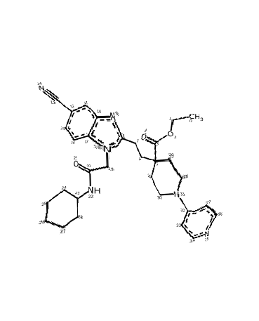 CCOC(=O)C1(CCc2nc3cc(C#N)ccc3n2CC(=O)NC2CCCCC2)CCN(c2ccncc2)CC1